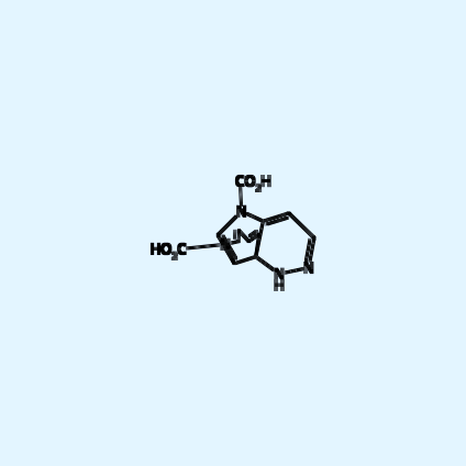 O=C(O)N1C=CC=CC23NN=CC=C2N(C(=O)O)C=C13